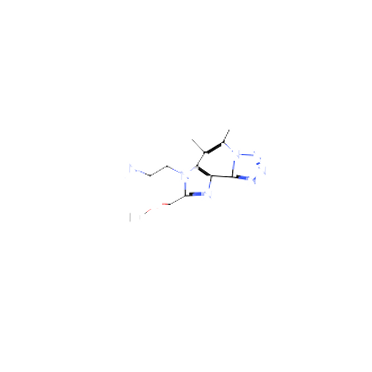 CCOCc1nc2c(c(C)c(C)n3nnnc23)n1CCN